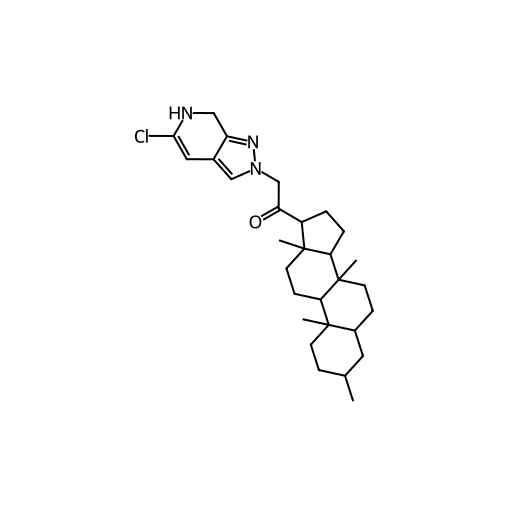 CC1CCC2(C)C(CCC3(C)C2CCC2(C)C(C(=O)Cn4cc5c(n4)CNC(Cl)=C5)CCC23)C1